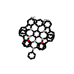 N#Cc1cc(C#N)cc(-c2c(-n3c4ccccc4c4ccccc43)c(-n3c4ccccc4c4ccccc43)c(N3c4ccccc4N(c4ccccc4)c4ccccc43)c(-n3c4ccccc4c4ccccc43)c2-n2c3ccccc3c3ccccc32)c1